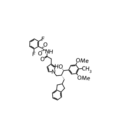 COc1cc([C@@H](O)[C@H](CC2Cc3ccccc3C2)Cn2ccc(CC(=O)NS(=O)(=O)c3c(F)cccc3F)c2)cc(OC)c1C